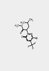 COC(=O)C(CC(C)C)n1nc(Br)c(C(F)(F)F)cc1=O